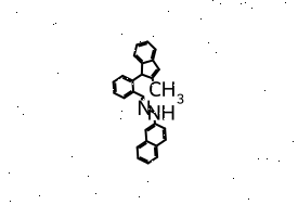 CC1=Cc2ccccc2C1c1ccccc1/C=N/Nc1ccc2ccccc2c1